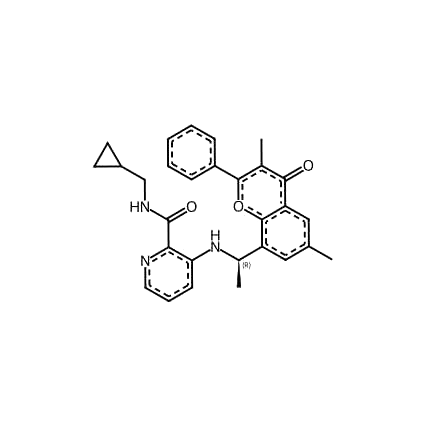 Cc1cc([C@@H](C)Nc2cccnc2C(=O)NCC2CC2)c2oc(-c3ccccc3)c(C)c(=O)c2c1